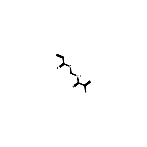 C=CC(=O)OCNC(=O)C(=C)C